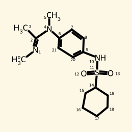 CN=C(C)N(C)c1ccc(NS(=O)(=O)C2CCCCC2)cc1